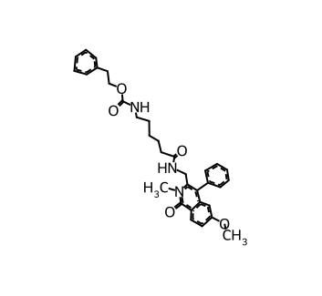 COc1ccc2c(=O)n(C)c(CNC(=O)CCCCCNC(=O)OCCc3ccccc3)c(-c3ccccc3)c2c1